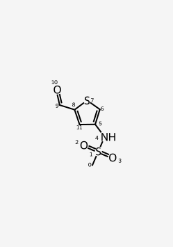 CS(=O)(=O)Nc1csc(C=O)c1